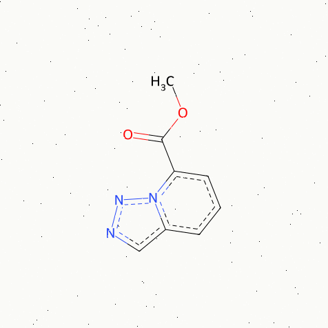 COC(=O)c1cccc2cnnn12